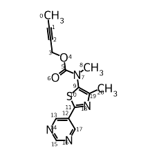 CC#CCOC(=O)N(C)c1sc(-c2cncnc2)nc1C